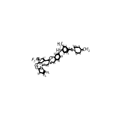 Cc1cc(N2CCC(C)CC2)ccc1Nc1ccc(CN(CCN2CCCC2=O)C(=O)C2CC(=O)N(C(F)(F)F)C2)cc1